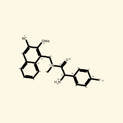 COc1c(C#N)cc2ccccc2c1CN(C)C(=O)C(N)c1ccc(F)cc1